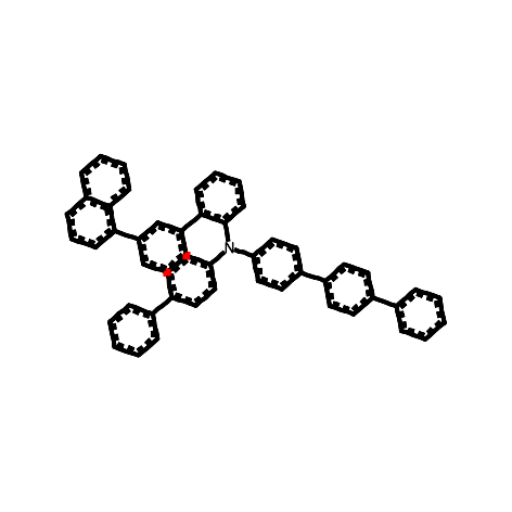 c1ccc(-c2ccc(-c3ccc(N(c4ccc(-c5ccccc5)cc4)c4ccccc4-c4cccc(-c5cccc6ccccc56)c4)cc3)cc2)cc1